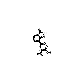 CC(C)[C@H](NC(=O)c1cccn2c(=O)[nH]nc12)C(=O)O